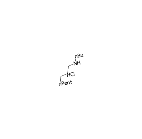 CCCCCCCCNCCCC.Cl